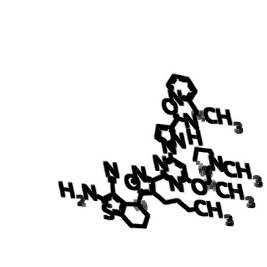 CCCCc1c(-c2nc(O[C@@H](C)[C@@H]3CCCN3C)cc(-n3ccc(C(=O)N[C@@H](C)c4ccccn4)n3)n2)noc1[C@H]1CCCc2sc(N)c(C#N)c21